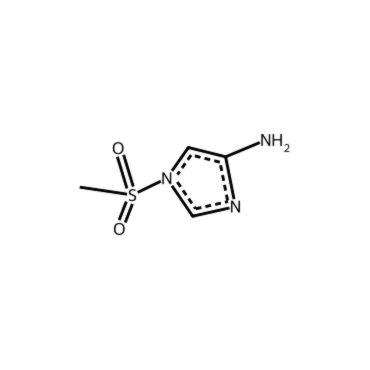 CS(=O)(=O)n1cnc(N)c1